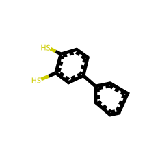 Sc1ccc(-c2ccccc2)cc1S